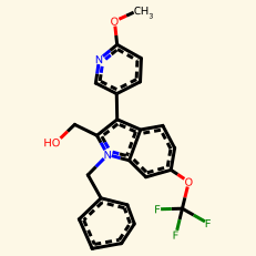 COc1ccc(-c2c(CO)n(Cc3ccccc3)c3cc(OC(F)(F)F)ccc23)cn1